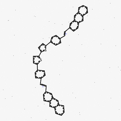 C(=C\c1ccc2cc3ccccc3cc2c1)/c1ccc(-c2ccc(-c3ccc(-c4ccc(/C=C/c5ccc6cc7ccccc7cc6c5)cc4)s3)s2)cc1